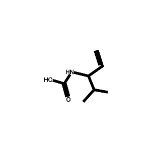 C=CC(NC(=O)O)C(C)C